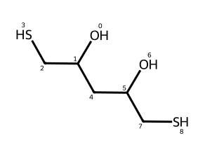 OC(CS)CC(O)CS